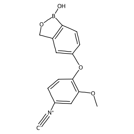 [C-]#[N+]c1ccc(Oc2ccc3c(c2)COB3O)c(OC)c1